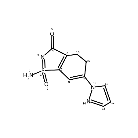 NS1(=O)=NC(=O)C2=C1C=C(n1cccn1)CC2